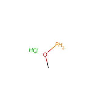 COP.Cl